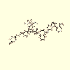 C[C@H]1CCCCN1c1nnc2ccc(O[C@@H]3CC[C@H](NC(=O)Nc4cc(C(C)(C)C)nn4-c4cccc(OCCN5CCC(F)CC5)c4)c4ccccc43)cn12